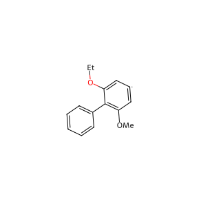 CCOc1c[c]cc(OC)c1-c1ccccc1